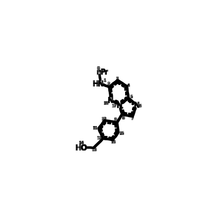 CCCNc1ccc2ncc(-c3ccc(CO)cc3)n2n1